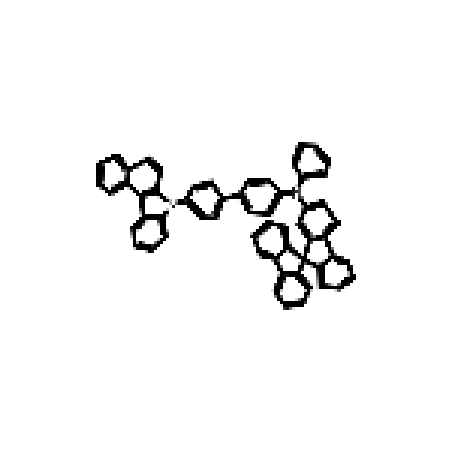 c1ccc(N(c2ccc(-c3ccc(-n4c5ccccc5c5c6ccccc6ccc54)cc3)cc2)c2ccc3c(c2)C2(c4ccccc4-c4ccccc42)c2ccccc2-3)cc1